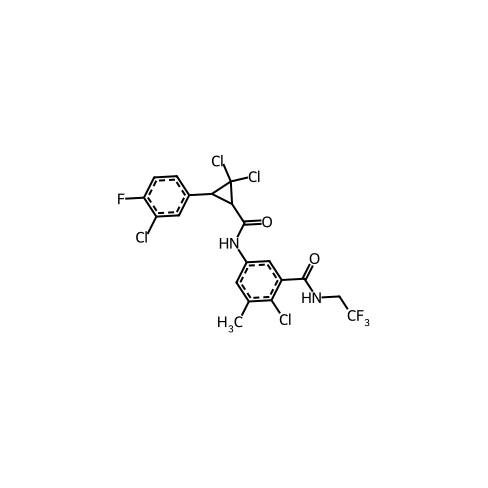 Cc1cc(NC(=O)C2C(c3ccc(F)c(Cl)c3)C2(Cl)Cl)cc(C(=O)NCC(F)(F)F)c1Cl